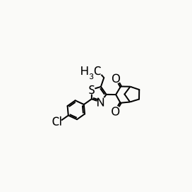 CCc1sc(-c2ccc(Cl)cc2)nc1C1C(=O)C2CCC(C2)C1=O